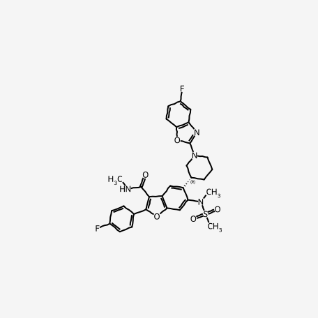 CNC(=O)c1c(-c2ccc(F)cc2)oc2cc(N(C)S(C)(=O)=O)c([C@H]3CCCN(c4nc5cc(F)ccc5o4)C3)cc12